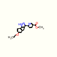 C=CCOc1ccc2c(c1)Cc1c(-c3ccc(C(=O)OC)cn3)n[nH]c1-2